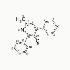 Cn1cc(-c2ccccc2)c(=O)c(-c2ccccc2)n1